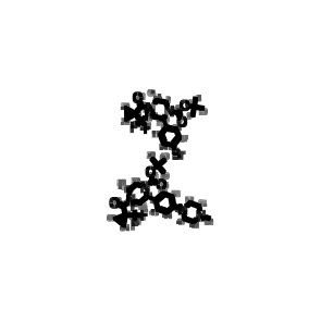 C[C@@H]1CN(C(=O)OC(C)(C)C)[C@@H](c2ccc(Br)cc2)CN1C(=O)C1(C(F)(F)F)CC1.C[C@@H]1CN(C(=O)OC(C)(C)C)[C@@H](c2ccc(N3CCN(C)CC3)cc2)CN1C(=O)C1(C(F)(F)F)CC1